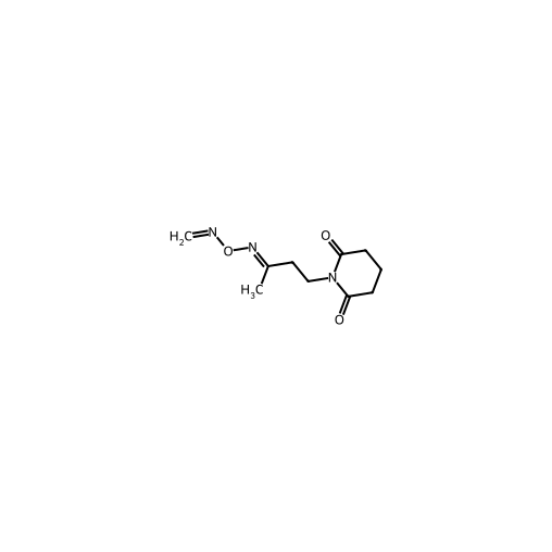 C=NO/N=C(\C)CCN1C(=O)CCCC1=O